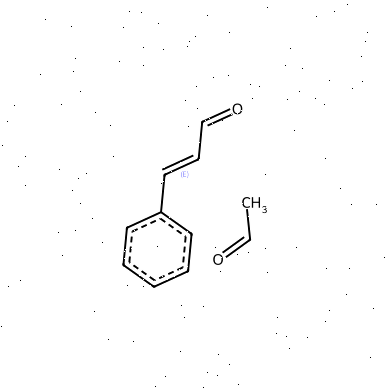 CC=O.O=C/C=C/c1ccccc1